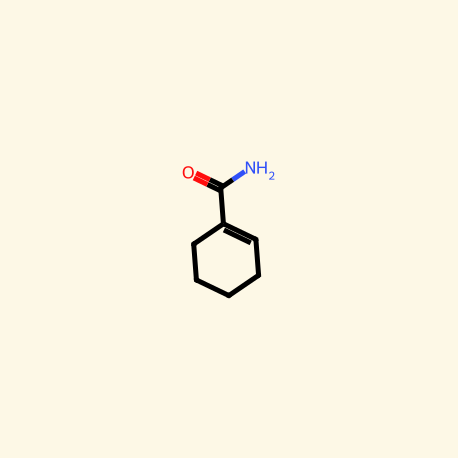 NC(=O)C1=CCCCC1